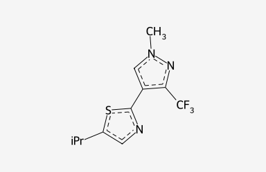 CC(C)c1cnc(-c2cn(C)nc2C(F)(F)F)s1